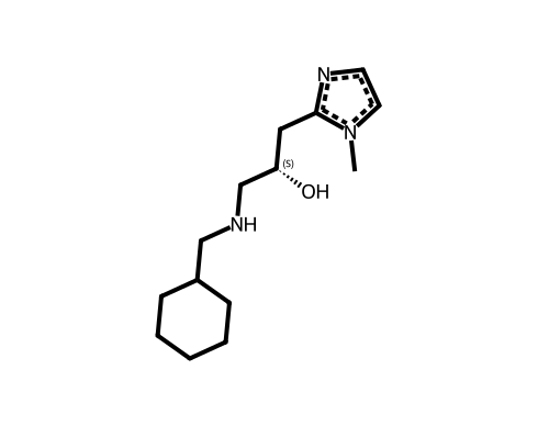 Cn1ccnc1C[C@H](O)CNCC1CCCCC1